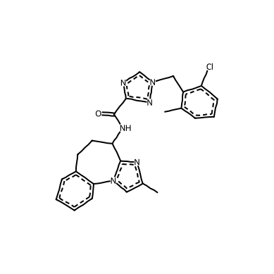 Cc1cn2c(n1)C(NC(=O)c1ncn(Cc3c(C)cccc3Cl)n1)CCc1ccccc1-2